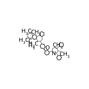 CCC1C(c2ccccc2)=C(C)CC(c2cccc3c2oc2cc(C4Cc5ccccc5-c5cc6c(cc5C4C)C(C)(C)CCC6(C)C)ccc23)=NC1c1ccccc1